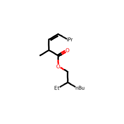 CCCCC(CC)COC(=O)C(C)/C=C\C(C)C